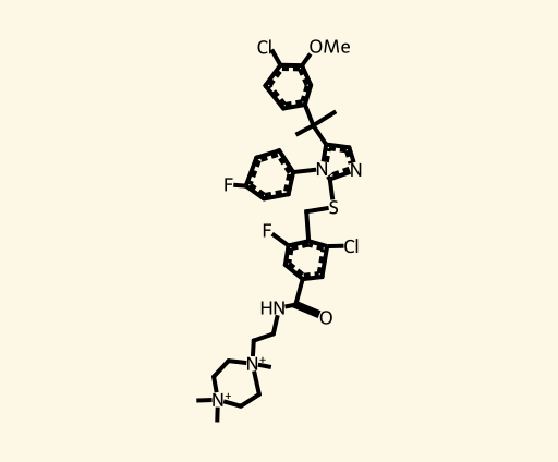 COc1cc(C(C)(C)c2cnc(SCc3c(F)cc(C(=O)NCC[N+]4(C)CC[N+](C)(C)CC4)cc3Cl)n2-c2ccc(F)cc2)ccc1Cl